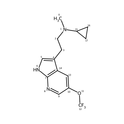 CN(CCc1c[nH]c2ncc(OC(F)(F)F)cc12)C1CC1